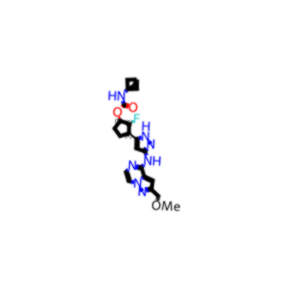 COCc1cc2c(Nc3cc([C@H]4CC[C@@H](OC(=O)NC56CC(C5)C6)[C@H]4F)[nH]n3)nccn2n1